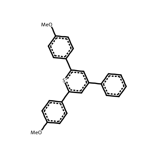 COc1ccc(-c2cc(-c3ccccc3)cc(-c3ccc(OC)cc3)[s+]2)cc1